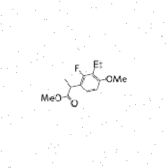 CCc1c(OC)ccc(C(C)C(=O)OC)c1F